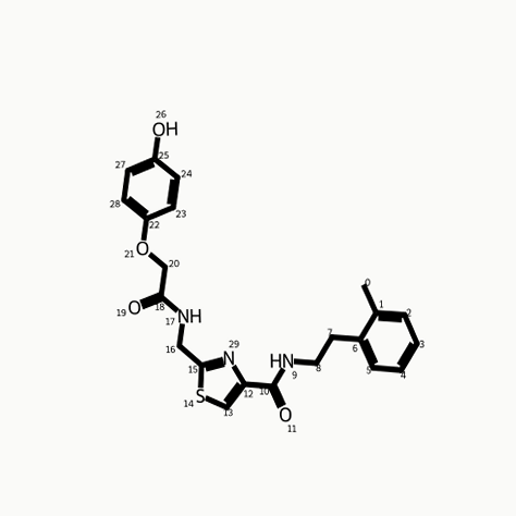 Cc1ccccc1CCNC(=O)c1csc(CNC(=O)COc2ccc(O)cc2)n1